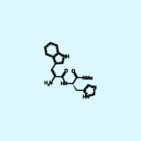 CNC(=O)[C@H](Cc1cnc[nH]1)NC(=O)/C(N)=C\c1c[nH]c2ccccc12